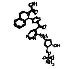 NS(=O)(=O)OC[C@H]1C[C@@H](Nc2ncncc2C(=O)c2cc([C@H]3c4ccccc4CCN3C(=O)O)cs2)C[C@@H]1O